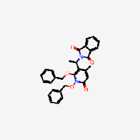 Cc1cc(=O)n(OCc2ccccc2)c(OCc2ccccc2)c1C(C)N1C(=O)c2ccccc2C1=O